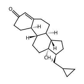 C[C@]12CC[C@H]3[C@@H](CCC4=CC(=O)CC[C@@H]43)[C@@H]1CC[C@H]2CC1CC1